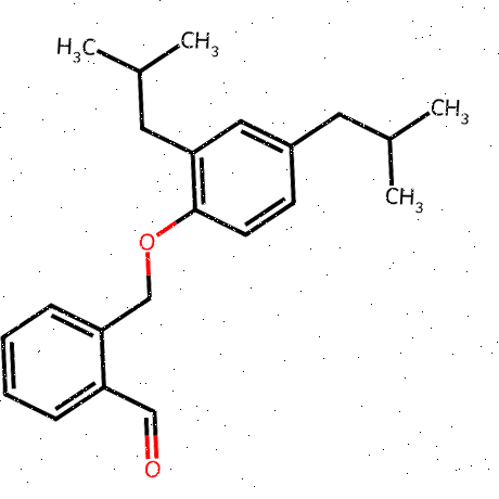 CC(C)Cc1ccc(OCc2ccccc2C=O)c(CC(C)C)c1